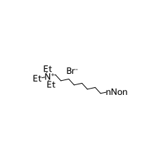 CCCCCCCCCCCCCCCCC[N+](CC)(CC)CC.[Br-]